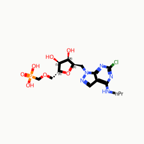 CCCNc1nc(Cl)nc2c1cnn2C[C@H]1O[C@H](COCP(=O)(O)O)[C@@H](O)[C@H]1O